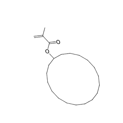 C=C(C)C(=O)OC1CCCCCCCCCCCCCCCCC1